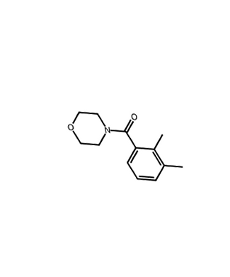 Cc1cccc(C(=O)N2CCOCC2)c1C